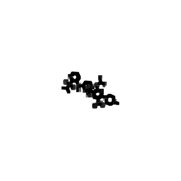 CC(C)S(=O)(=O)c1ncccc1NC1=NC(N)(c2cc([N+](=O)[O-])c(N3CCN(C)CC3)nc2OC(F)F)NC=C1